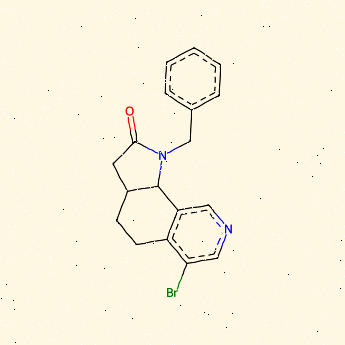 O=C1CC2CCc3c(Br)cncc3C2N1Cc1ccccc1